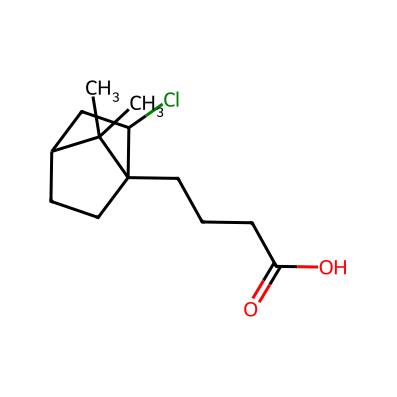 CC1(C)C2CCC1(CCCC(=O)O)C(Cl)C2